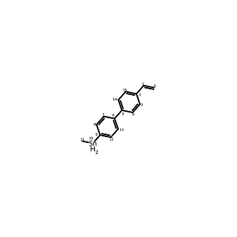 C=Cc1ccc(-c2cc[c]([SnH2][CH3])cc2)cc1